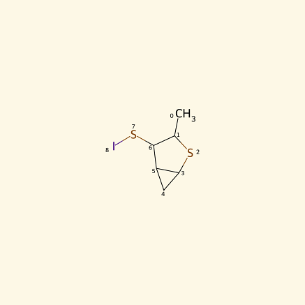 CC1SC2CC2C1SI